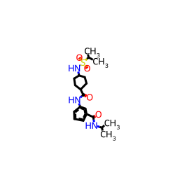 CC(C)NC(=O)c1cccc(NC(=O)C2CCC(NS(=O)(=O)C(C)C)CC2)c1